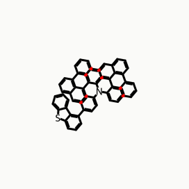 c1ccc(-c2cccc3cccc(-c4ccccc4N(c4ccc(-c5cccc6sc7ccccc7c56)cc4)c4ccccc4-c4cccc5cccc(-c6ccccc6)c45)c23)cc1